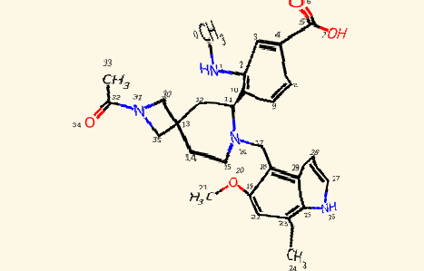 CNc1cc(C(=O)O)ccc1[C@@H]1CC2(CCN1Cc1c(OC)cc(C)c3[nH]ccc13)CN(C(C)=O)C2